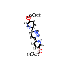 CCCCCCCCOc1ccc(-c2ccc(-c3ccc(OCCCCCCCC)cn3)nn2)nc1